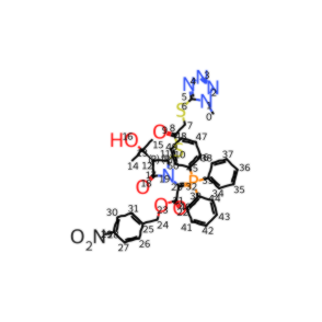 Cn1nnnc1SCC(=O)S[C@@H]1[C@H](C(C)(C)O)C(=O)N1C(C(=O)OCc1ccc([N+](=O)[O-])cc1)=P(c1ccccc1)(c1ccccc1)c1ccccc1